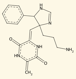 C=c1[nH]c(=O)c(=CC2(CCCN)N=CNC2c2ccccc2)[nH]c1=O